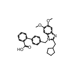 COc1cc2nc(CC3CCCC3)n(Cc3ccc(-c4ccccc4C(=O)O)cc3)c2cc1OC